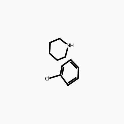 C1CCNCC1.Clc1ccccc1